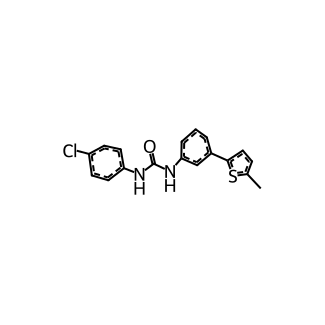 Cc1ccc(-c2cccc(NC(=O)Nc3ccc(Cl)cc3)c2)s1